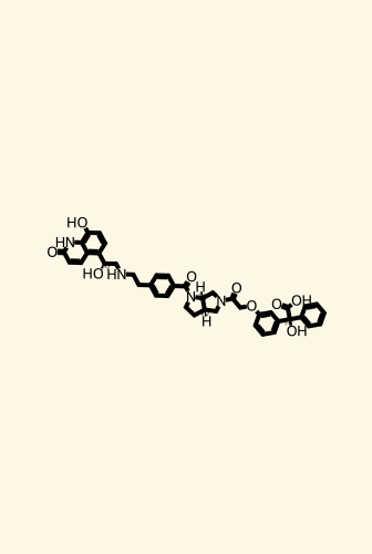 O=C(COc1cccc([C@](O)(C(=O)O)c2ccccc2)c1)N1C[C@H]2CCN(C(=O)c3ccc(CCNC[C@H](O)c4ccc(O)c5[nH]c(=O)ccc45)cc3)[C@H]2C1